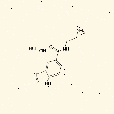 Cl.Cl.NCCNC(=O)c1ccc2[nH]cnc2c1